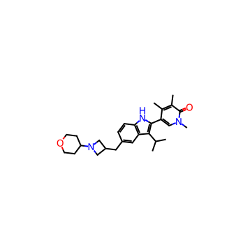 Cc1c(-c2[nH]c3ccc(CC4CN(C5CCOCC5)C4)cc3c2C(C)C)cn(C)c(=O)c1C